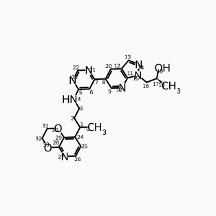 CC(CCNc1cc(-c2cnc3c(cnn3C[C@H](C)O)c2)ncn1)c1ccnc2c1OCCO2